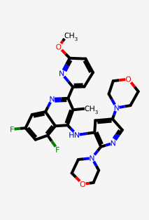 COc1cccc(-c2nc3cc(F)cc(F)c3c(Nc3cc(N4CCOCC4)cnc3N3CCOCC3)c2C)n1